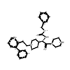 O=C(N[C@@H](C(=O)N1CCNCC1)C1CCN(CCc2ncccc2-c2ccccc2)CC1)OCc1ccccc1